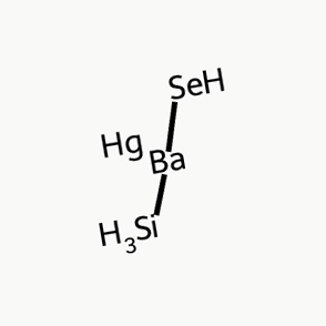 [Hg].[SiH3][Ba][SeH]